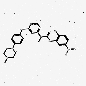 CN1CCN(c2ccc(Nc3cc(N(C)C(=O)Nc4cc([N+](=O)[O-])ccc4Cl)ncn3)cc2)CC1